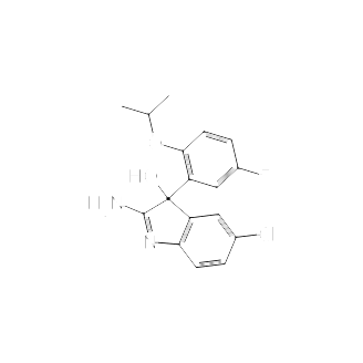 CC(C)Oc1ccc(F)cc1C1(O)C(N)=Nc2ccc(Cl)cc21